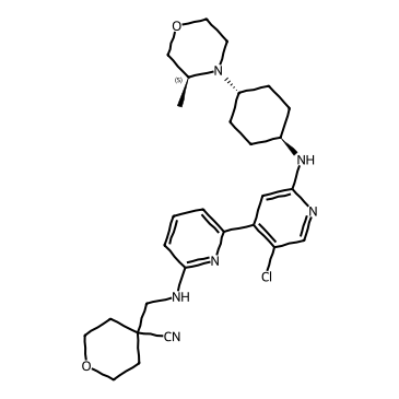 C[C@H]1COCCN1[C@H]1CC[C@H](Nc2cc(-c3cccc(NCC4(C#N)CCOCC4)n3)c(Cl)cn2)CC1